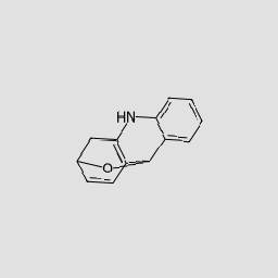 C1=CC2CC3=C1C(O2)c1ccccc1N3